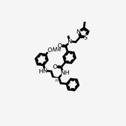 COc1cccc(NCC[C@H](Cc2ccccc2)NC(=O)c2cccc(C(=O)N(C)Cc3nc(C)cs3)c2)c1